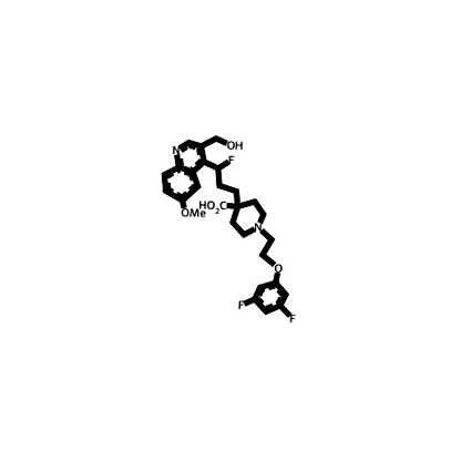 COc1ccc2ncc(CO)c(C(F)CCC3(C(=O)O)CCN(CCOc4cc(F)cc(F)c4)CC3)c2c1